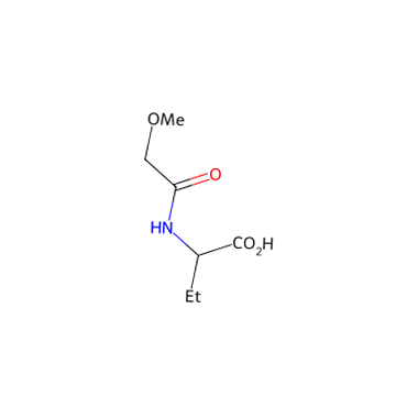 CCC(NC(=O)COC)C(=O)O